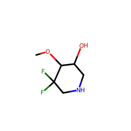 COC1C(O)CNCC1(F)F